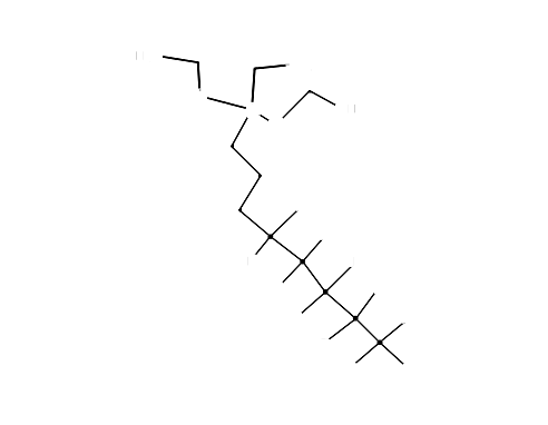 CCO[Si](CC)(CCCC(F)(F)C(F)(F)C(F)(F)C(F)(F)C(F)(F)F)OCC